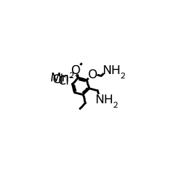 CCc1ccc(OC)c(OCN)c1CN.[Cl-].[Cl-].[Mn+2]